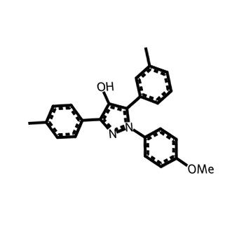 COc1ccc(-n2nc(-c3ccc(C)cc3)c(O)c2-c2cccc(C)c2)cc1